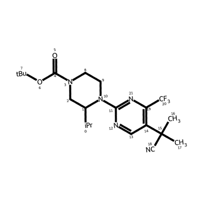 CC(C)C1CN(C(=O)OC(C)(C)C)CCN1c1ncc(C(C)(C)C#N)c(C(F)(F)F)n1